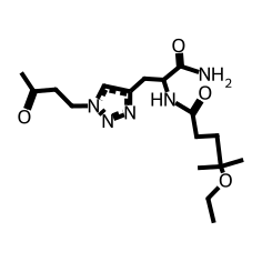 CCOC(C)(C)CCC(=O)NC(Cc1cn(CCC(C)=O)nn1)C(N)=O